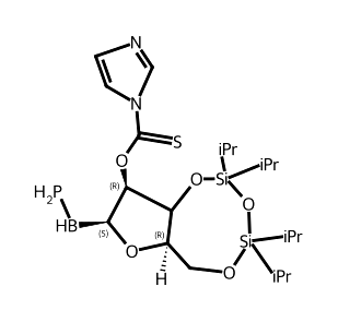 CC(C)[Si]1(C(C)C)OC[C@H]2O[C@@H](BP)[C@@H](OC(=S)n3ccnc3)C2O[Si](C(C)C)(C(C)C)O1